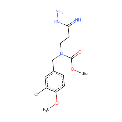 CC(C)(C)OC(=O)N(CCC(=N)NN)Cc1ccc(OC(F)(F)F)c(Cl)c1